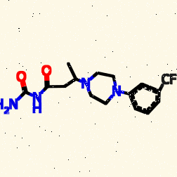 CC(CC(=O)NC(N)=O)N1CCN(c2cccc(C(F)(F)F)c2)CC1